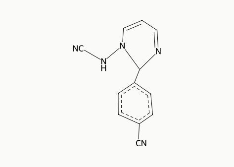 N#CNN1C=CC=NC1c1ccc(C#N)cc1